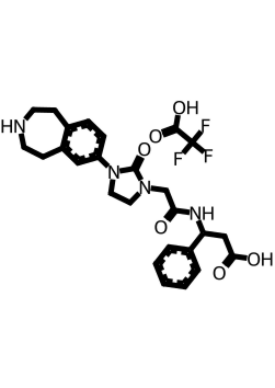 O=C(O)C(F)(F)F.O=C(O)CC(NC(=O)CN1CCN(c2ccc3c(c2)CCNCC3)C1=O)c1ccccc1